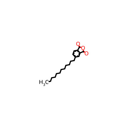 CCCCCCCCCCCCc1ccc2c(c1)C(=O)OC2=O